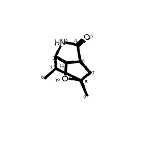 CC1C2NC(=O)C3CC1(C)OC32